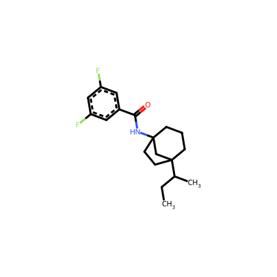 CCC(C)C12CCCC(NC(=O)c3cc(F)cc(F)c3)(CC1)C2